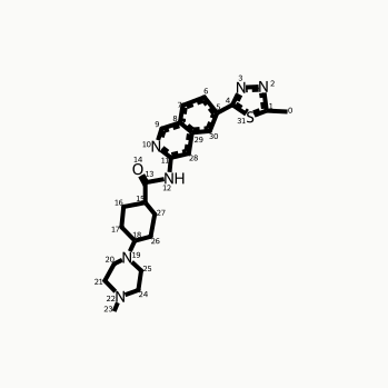 Cc1nnc(-c2ccc3cnc(NC(=O)C4CCC(N5CCN(C)CC5)CC4)cc3c2)s1